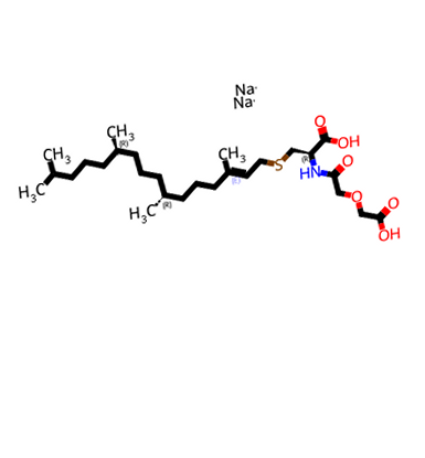 C/C(=C\CSC[C@H](NC(=O)COCC(=O)O)C(=O)O)CCC[C@H](C)CCC[C@H](C)CCCC(C)C.[Na].[Na]